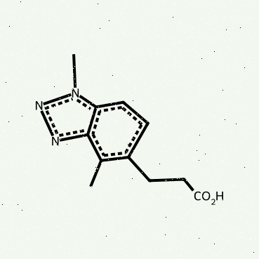 Cc1c(CCC(=O)O)ccc2c1nnn2C